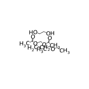 C=C.CC(=O)OCOC(C)=O.CCOCC.OCCO